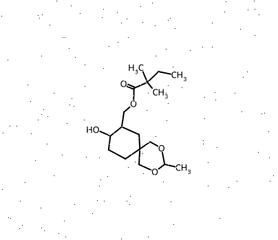 CCC(C)(C)C(=O)OCC1CC2(CCC1O)COC(C)OC2